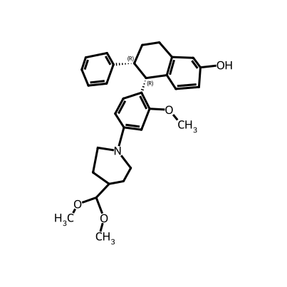 COc1cc(N2CCC(C(OC)OC)CC2)ccc1[C@H]1c2ccc(O)cc2CC[C@H]1c1ccccc1